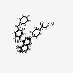 N#CCC(=O)N1CCN(c2nc(Nc3ccc(CN4CCCCC4)cc3)c3c(=O)[nH]ncc3n2)CC1